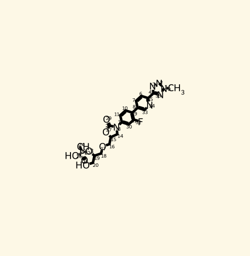 Cn1nnc(-c2ccc(-c3ccc(N4CC(COCC(CO)OP(C)(=O)O)OC4=O)cc3F)cn2)n1